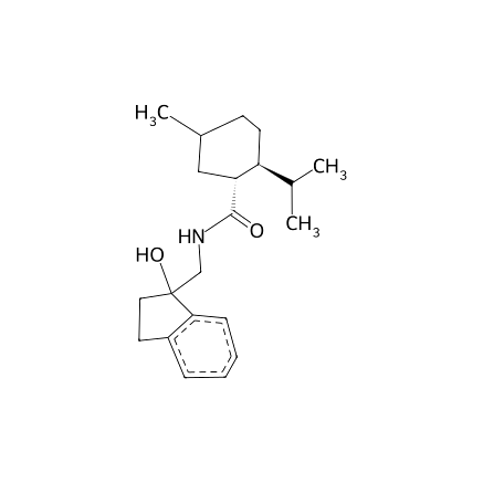 CC1CC[C@@H](C(C)C)[C@H](C(=O)NCC2(O)CCc3ccccc32)C1